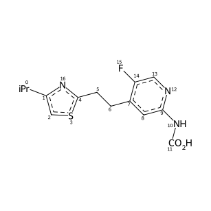 CC(C)c1csc(CCc2cc(NC(=O)O)ncc2F)n1